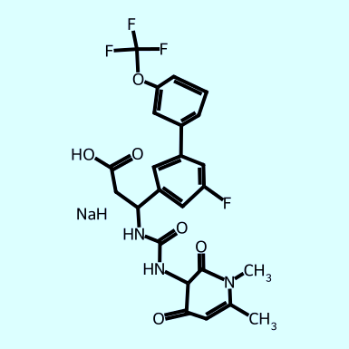 CC1=CC(=O)C(NC(=O)NC(CC(=O)O)c2cc(F)cc(-c3cccc(OC(F)(F)F)c3)c2)C(=O)N1C.[NaH]